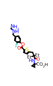 CCC(CC)(Cc1ccc(C(=O)Oc2ccc(CNCN)cc2F)s1)C(=O)NC1(C(=O)O)CC1